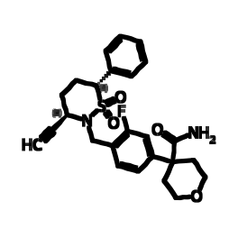 C#C[C@H]1CC[C@H](c2ccccc2)S(=O)(=O)N1Cc1ccc(C2(C(N)=O)CCOCC2)cc1F